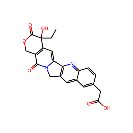 CCC1(O)C(=O)OCc2c1cc1n(c2=O)Cc2cc3cc(CC(=O)O)ccc3nc2-1